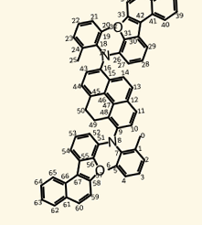 Cc1cccc(C)c1N(c1ccc2ccc3c(N(c4c(C)cccc4C)c4cccc5c4oc4ccc6ccccc6c45)ccc4c3c2c1CC4)c1cccc2c1oc1ccc3ccccc3c12